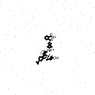 CC(C)(O)CN1N=C(C(=O)N[C@H]2CC3(C2)C[C@H](c2n[nH]c(=O)c4ccccc42)C3)C2C=CC(C3CC3)=CC21